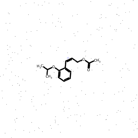 CC(=O)OC/C=C\c1ccccc1OC(C)C